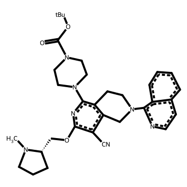 CN1CCC[C@H]1COc1nc(N2CCN(C(=O)OC(C)(C)C)CC2)c2c(c1C#N)CN(c1nccc3ccccc13)CC2